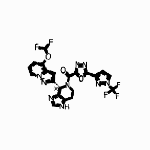 O=C(c1nnc(-c2ccn(C(F)(F)F)n2)o1)N1CCc2[nH]cnc2[C@@H]1c1cc2c(OC(F)F)cccn2n1